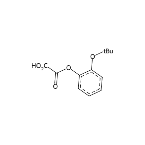 CC(C)(C)Oc1ccccc1OC(=O)C(=O)O